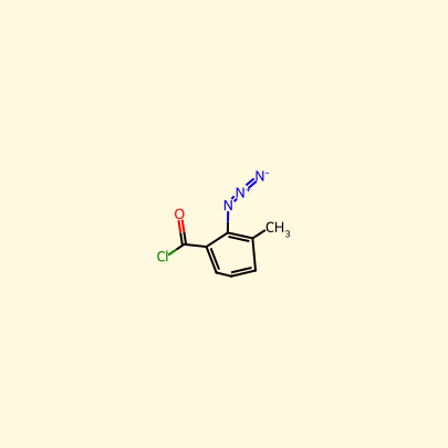 Cc1cccc(C(=O)Cl)c1N=[N+]=[N-]